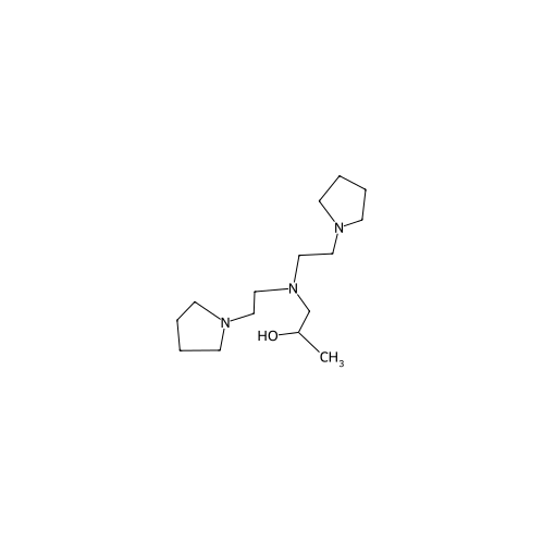 CC(O)CN(CCN1CCCC1)CCN1CCCC1